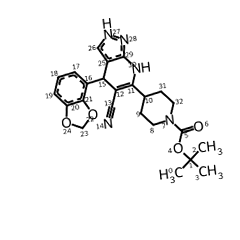 CC(C)(C)OC(=O)N1CCC(C2=C(C#N)C(c3cccc4c3OCO4)c3c[nH]nc3N2)CC1